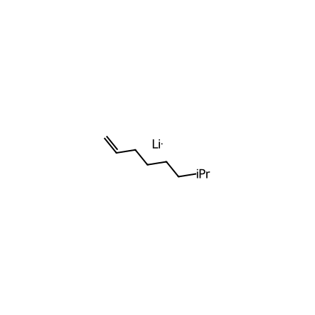 C=CCCCCC(C)C.[Li]